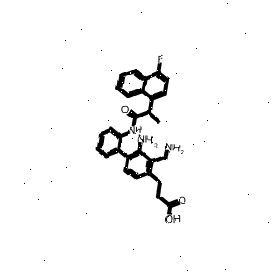 CC(C(=O)Nc1ccccc1-c1ccc(CCC(=O)O)c(CN)c1N)c1ccc(F)c2ccccc12